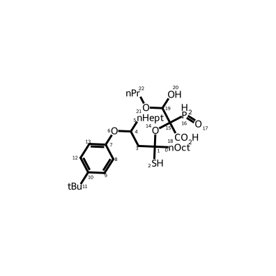 CCCCCCCCC(S)(CC(CCCCCCC)Oc1ccc(C(C)(C)C)cc1)OC([PH2]=O)(C(=O)O)C(O)OCCC